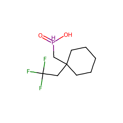 O=[PH](O)CC1(CC(F)(F)F)CCCCC1